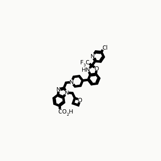 O=C(O)c1ccc2nc(CN3CCC(c4cccc5c4NC(c4ccc(Cl)cn4)(C(F)(F)F)O5)CC3)n(CC3CCO3)c2c1